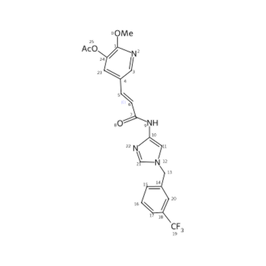 COc1ncc(/C=C/C(=O)Nc2cn(Cc3cccc(C(F)(F)F)c3)cn2)cc1OC(C)=O